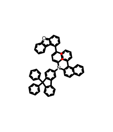 C1=C(c2cccc3oc4ccccc4c23)CCC(N(c2ccc3c(c2)-c2ccccc2C3(c2ccccc2)c2ccccc2)c2ccc3ccccc3c2-c2ccccc2)=C1